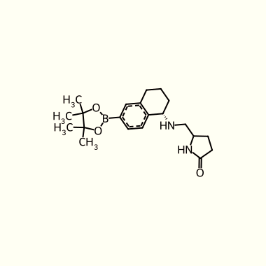 CC1(C)OB(c2ccc3c(c2)CCC[C@@H]3NCC2CCC(=O)N2)OC1(C)C